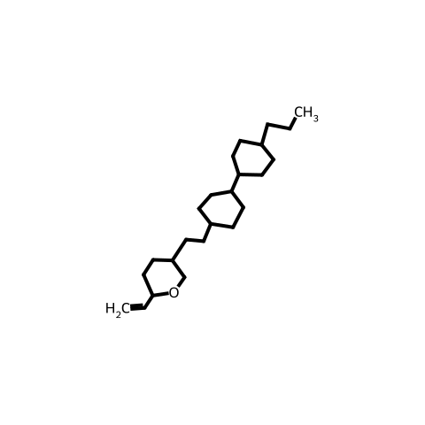 C=CC1CCC(CCC2CCC(C3CCC(CCC)CC3)CC2)CO1